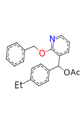 CCc1ccc(C(OC(C)=O)c2cccnc2OCc2ccccc2)cc1